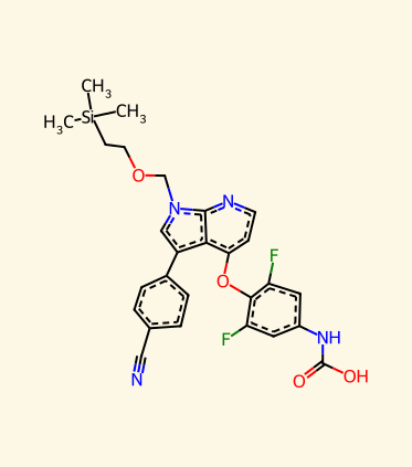 C[Si](C)(C)CCOCn1cc(-c2ccc(C#N)cc2)c2c(Oc3c(F)cc(NC(=O)O)cc3F)ccnc21